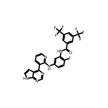 O=C(Nc1cc(Nc2ncccc2-c2ncnc3[nH]ccc23)ccc1F)c1cc(C(F)(F)F)cc(C(F)(F)F)c1